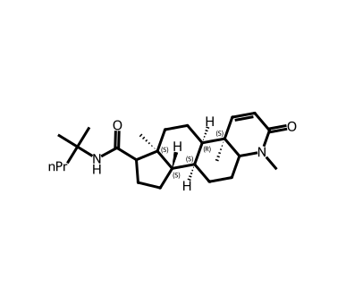 CCCC(C)(C)NC(=O)C1CC[C@H]2[C@@H]3CCC4N(C)C(=O)C=C[C@]4(C)[C@@H]3CC[C@]12C